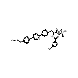 CCCCCCCOc1ccc(-c2cnc(-c3ccc(C[C@H](NC(=O)c4ccc(C(C)(C)C)s4)C(=O)NS(=O)(=O)CC)cc3)nc2)cc1